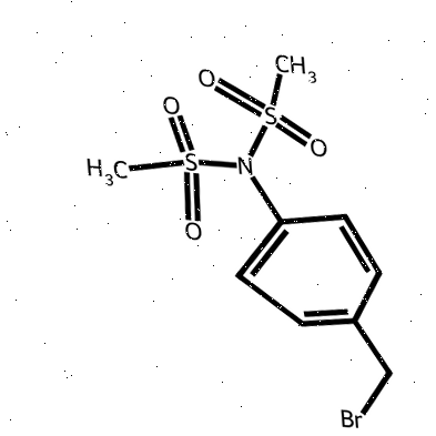 CS(=O)(=O)N(c1ccc(CBr)cc1)S(C)(=O)=O